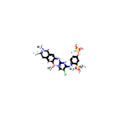 COc1cc2c(cc1Nc1ncc(Cl)c(Nc3ccc(OS(=O)(=O)F)cc3P(C)(C)=O)n1)CN(C)C(C)C2